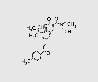 CCN(CC)C(=O)c1cc2cc(C=CC(=O)c3ccc(C)cc3)cc(C(C)(C)C)c2oc1=O